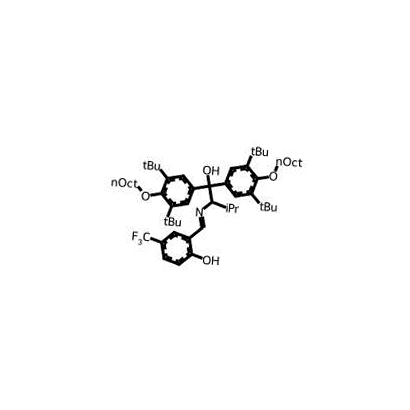 CCCCCCCCOc1c(C(C)(C)C)cc(C(O)(c2cc(C(C)(C)C)c(OCCCCCCCC)c(C(C)(C)C)c2)C(N=Cc2cc(C(F)(F)F)ccc2O)C(C)C)cc1C(C)(C)C